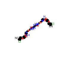 N#Cc1cc(Cl)cc2c1CC[C@H]2Oc1ccc(S(=O)(=O)N[C@H]2CCN(CCOCCNC(=O)NCCCCNC(=O)NCCOCCN3CC[C@H](NS(=O)(=O)c4ccc(O[C@@H]5CCc6c(C#N)cc(Cl)cc65)cc4)C3)C2)cc1